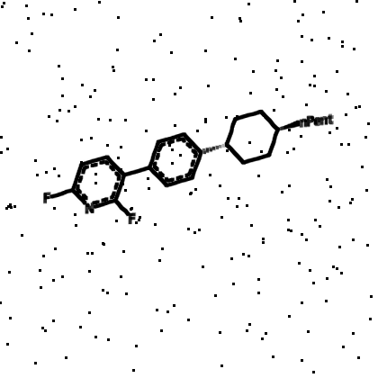 CCCCC[C@H]1CC[C@H](c2ccc(-c3ccc(F)nc3F)cc2)CC1